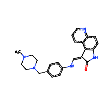 CN1CCN(Cc2ccc(NC=C3C(=O)Nc4ccc5ncccc5c43)cc2)CC1